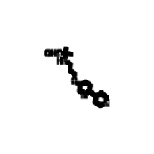 CC(C)(C=O)NCCCOc1ccc(-c2ccncc2)nc1